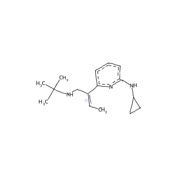 C/C=C(/CNC(C)(C)C)c1cccc(NC2CC2)n1